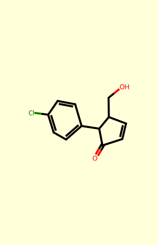 O=C1C=CC(CO)C1c1ccc(Cl)cc1